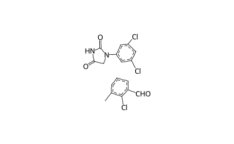 Cc1cccc(C=O)c1Cl.O=C1CN(c2cc(Cl)cc(Cl)c2)C(=O)N1